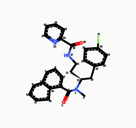 CN(C(=O)c1cccc2ccccc12)[C@H](CCNC(=O)c1ccccn1)Cc1ccc(F)cc1